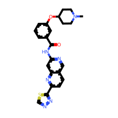 CN1CCC(Oc2cccc(C(=O)Nc3cc4nc(-c5nncs5)ccc4cn3)c2)CC1